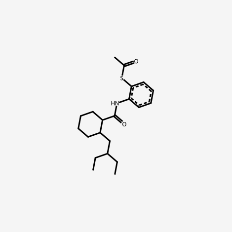 CCC(CC)CC1CCCCC1C(=O)Nc1ccccc1SC(C)=O